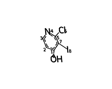 Oc1ccnc(Cl)c1I